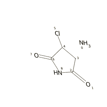 N.O=C1CC(Cl)C(=O)N1